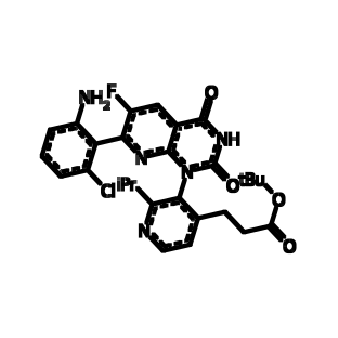 CC(C)c1nccc(CCC(=O)OC(C)(C)C)c1-n1c(=O)[nH]c(=O)c2cc(F)c(-c3c(N)cccc3Cl)nc21